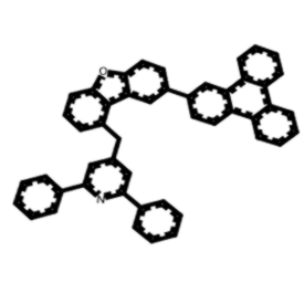 c1ccc(-c2cc(Cc3cccc4oc5ccc(-c6ccc7c8ccccc8c8ccccc8c7c6)cc5c34)cc(-c3ccccc3)n2)cc1